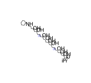 CC(C)C(=O)CC(O)CC(O)CC(O)/C=C/CC(O)CC(O)CC(O)CC(O)/C=C/CC(O)CC(O)CCCNC1CCCCC1